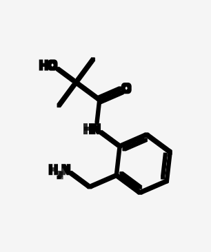 CC(C)(O)C(=O)Nc1ccccc1CN